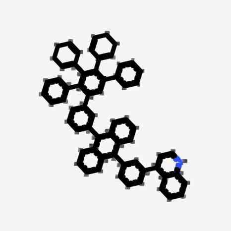 C1=CC(c2c(-c3ccccc3)cc(-c3cccc(-c4c5ccccc5c(-c5cccc(-c6ccnc7ccccc67)c5)c5ccccc45)c3)c(-c3ccccc3)c2C2=CCCC=C2)=CCC1